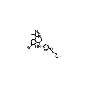 Cc1nnn2c1-c1ccc(Br)cc1C(Nc1ccc(OCCO)cc1)CC2